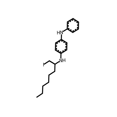 CCCCCCC(CI)Nc1ccc(Nc2ccccc2)cc1